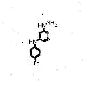 CCc1ccc(Nc2cnnc(NN)c2)cc1